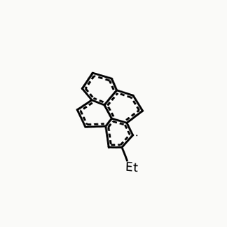 CCc1[c]c2ccc3cccc4ccc(c1)c2c34